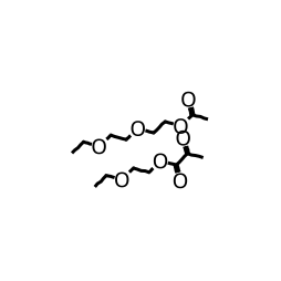 CCOCCOC(=O)C(C)=O.CCOCCOCCOC(C)=O